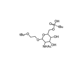 CC(=O)NC1C(OCCOC(C)(C)C)OC(COP(=O)(O)C(C)(C)C)C(O)C1O